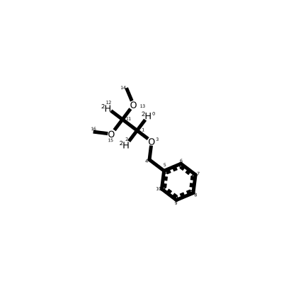 [2H]C([2H])(OCc1ccccc1)C([2H])(OC)OC